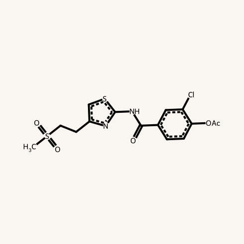 CC(=O)Oc1ccc(C(=O)Nc2nc(CCS(C)(=O)=O)cs2)cc1Cl